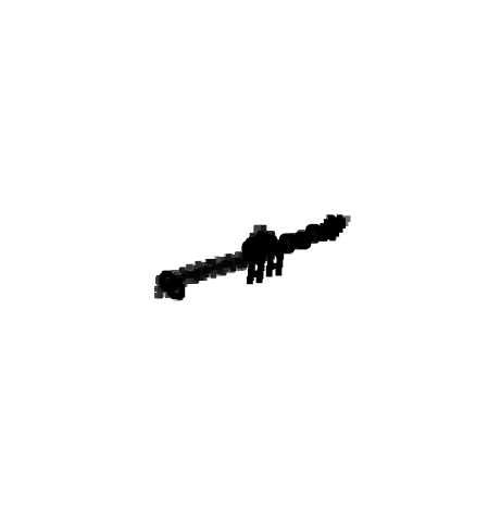 CC(C)(C)OC(=O)CCCCCCCCCCCCCCCCC(=O)N[C@@H](CC(=O)NCCOCCOCCOCCN=[N+]=[N-])C(=O)OC(C)(C)C